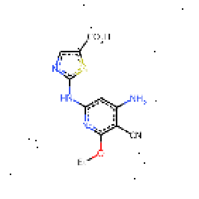 CCOc1nc(Nc2ncc(C(=O)O)s2)cc(N)c1C#N